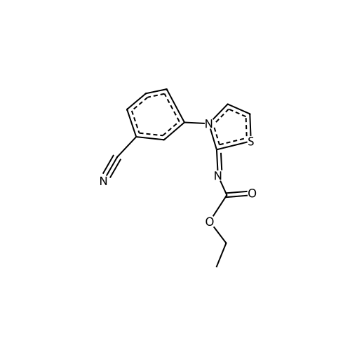 CCOC(=O)/N=c1\sccn1-c1cccc(C#N)c1